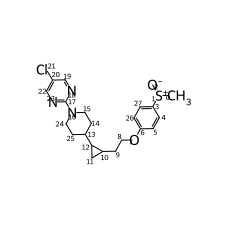 C[S+]([O-])c1ccc(OCCC2CC2C2CCN(c3ncc(Cl)cn3)CC2)cc1